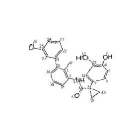 Cc1c(NC(=O)C2(c3ccc(O)c(O)c3)CC2)cccc1-c1cccc(Cl)c1